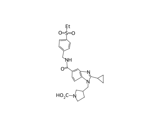 CCS(=O)(=O)c1ccc(CNC(=O)c2ccc3c(c2)nc(C2CC2)n3CC2CCN(C(=O)O)C2)cc1